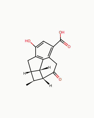 C[C@H]1[C@@H]2Cc3c(O)cc(C(=O)O)c4c3[C@@H]2[C@@H]1C(=O)C4